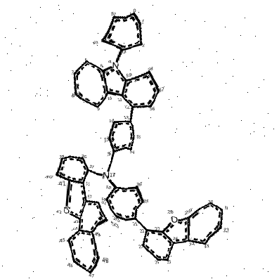 c1ccc(-n2c3ccccc3c3c(-c4ccc(N(c5ccc(-c6cccc7c6oc6ccccc67)cc5)c5cccc6oc7c8ccccc8ccc7c56)cc4)cccc32)cc1